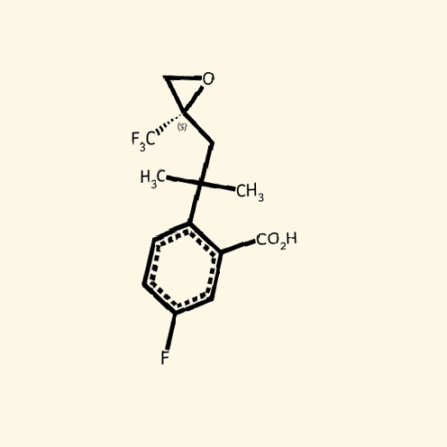 CC(C)(C[C@@]1(C(F)(F)F)CO1)c1ccc(F)cc1C(=O)O